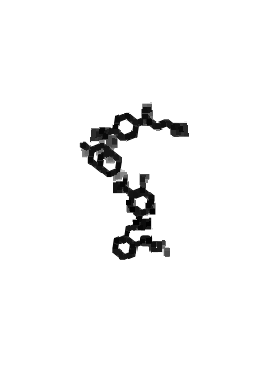 C[C@@H]1CC2C[C@@H](CNc3nc(NCc4ccccc4OC(F)(F)F)ncc3F)C[C@@H](C2)[C@H]1NC1CCC(NCCO)CC1